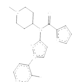 CN1CCC(N(C(=O)c2cccs2)c2ccn(-c3ccncc3F)n2)CC1